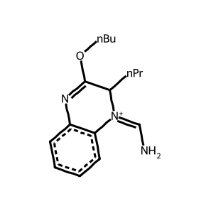 CCCCOC1=Nc2ccccc2[N+](=CN)C1CCC